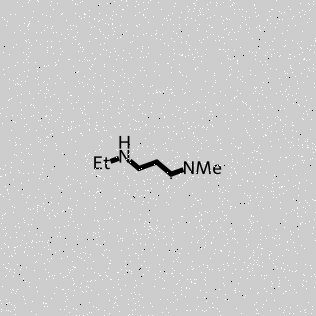 CCNCC[CH]NC